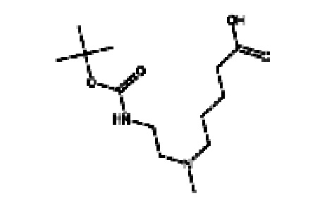 CN(CCCCC(=O)O)CCNC(=O)OC(C)(C)C